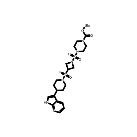 CC(C)(C)OC(=O)N1CCN(S(=O)(=O)N2CC(S(=O)(=O)N3CCC(c4c[nH]c5ncccc45)CC3)C2)CC1